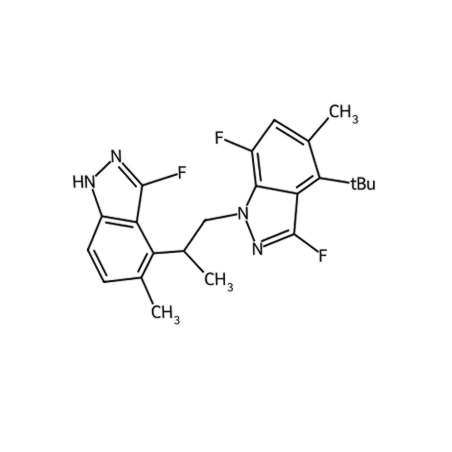 Cc1ccc2[nH]nc(F)c2c1C(C)Cn1nc(F)c2c(C(C)(C)C)c(C)cc(F)c21